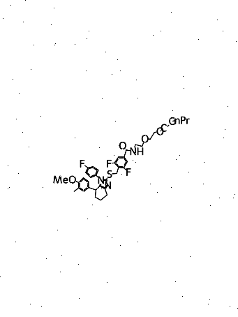 CCCOCCOCCOCCNC(=O)c1cc(F)c(CSc2nc3c(n2-c2ccc(F)cc2)C(c2ccc(OC)c(C)c2)CCC3)c(F)c1